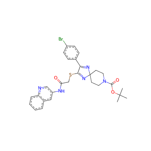 CC(C)(C)OC(=O)N1CCC2(CC1)N=C(SCC(=O)Nc1cnc3ccccc3c1)C(c1ccc(Br)cc1)=N2